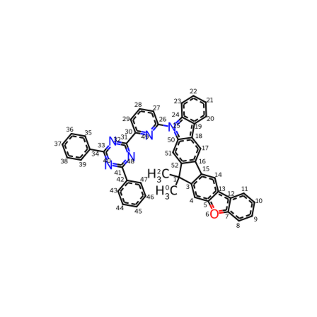 CC1(C)c2cc3oc4ccccc4c3cc2-c2cc3c4ccccc4n(-c4cccc(-c5nc(-c6ccccc6)nc(-c6ccccc6)n5)n4)c3cc21